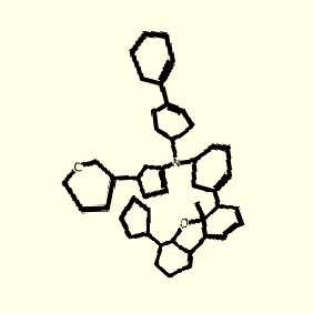 CC12OC3C(C4CCCC4)CCCC3C1C=CCC2C1=CCCC(N(C2=CCC(C3CCCCC3)C2)C2CC=C(C3=CCCCC3)CC2)C1